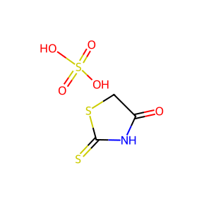 O=C1CSC(=S)N1.O=S(=O)(O)O